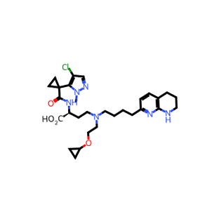 Cn1ncc(Cl)c1C1(C(=O)N[C@@H](CCN(CCCCc2ccc3c(n2)NCCC3)CCOC2CC2)C(=O)O)CC1